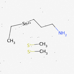 C[CH2][Sn+2][CH2]CCN.C[S-].C[S-]